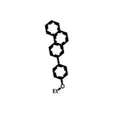 CCOc1ccc(-c2ccc3c(ccc4ccccc43)c2)cc1